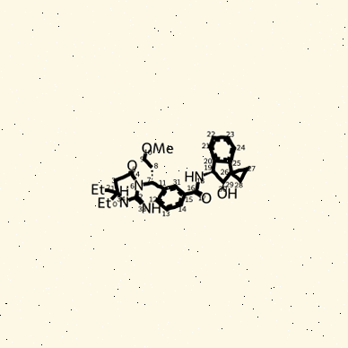 CCC1(CC)CC(=O)N([C@H](CCOC)c2cccc(C(=O)N[C@H]3c4ccccc4C4(CC4)[C@@H]3O)c2)C(=N)N1